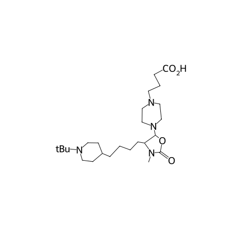 CN1C(=O)OC(N2CCN(CCCC(=O)O)CC2)C1CCCCC1CCN(C(C)(C)C)CC1